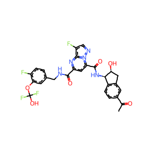 CC(=O)c1ccc2c(c1)C[C@H](O)[C@@H]2NC(=O)c1cc(C(=O)NCc2ccc(F)c(OC(O)(F)F)c2)nc2c(F)cnn12